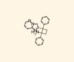 NC1(c2ccccc2)CCC1(c1ccccc1)c1cn2ncccc2n1